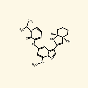 CNc1cc(Nc2cccn(C(C)C)c2=O)nc2c(C3=C[C@@]4(O)CCCC[C@H]4N3)cnn12